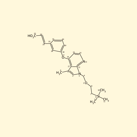 Cc1cn(COCC[Si](C)(C)C)c2nccc(Oc3cccc(/C=C/C(=O)O)c3)c12